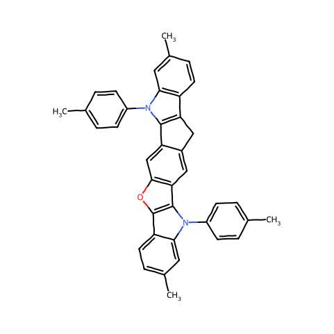 Cc1ccc(-n2c3c(c4ccc(C)cc42)Cc2cc4c(cc2-3)oc2c3ccc(C)cc3n(-c3ccc(C)cc3)c42)cc1